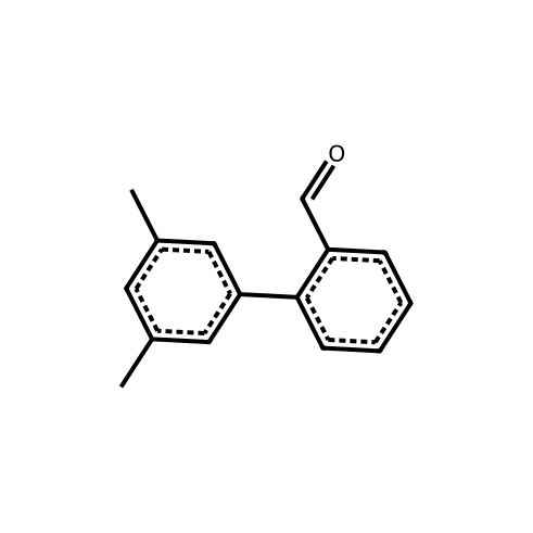 Cc1cc(C)cc(-c2ccccc2C=O)c1